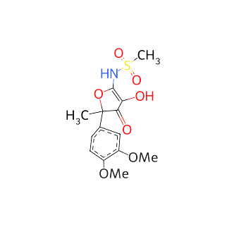 COc1ccc(C2(C)OC(NS(C)(=O)=O)=C(O)C2=O)cc1OC